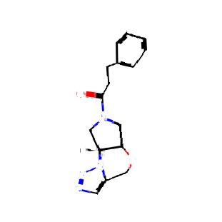 O=C(CCc1ccccc1)N1CC2OCc3cnnn3[C@@H]2C1